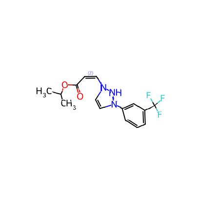 CC(C)OC(=O)/C=C\N1C=CN(c2cccc(C(F)(F)F)c2)N1